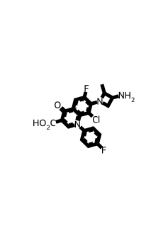 CC1C(N)CN1c1c(F)cc2c(=O)c(C(=O)O)cn(-c3ccc(F)cc3)c2c1Cl